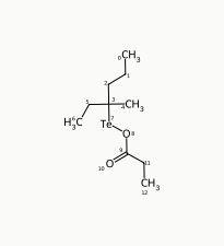 CCCC(C)(CC)[Te]OC(=O)CC